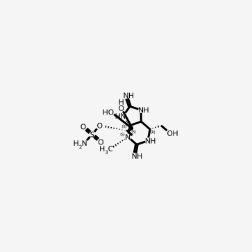 C[C@H]1[C@H](OS(N)(=O)=O)C(O)(O)[C@]23NC(=N)NC2[C@H](CO)NC(=N)N13